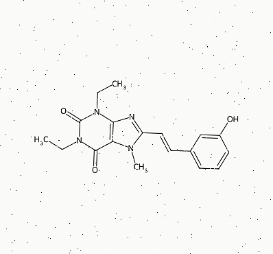 CCn1c(=O)c2c(nc(C=Cc3cccc(O)c3)n2C)n(CC)c1=O